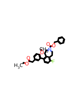 CCOC(=O)Cc1ccc(OC)c(-c2ccc(F)c3c2CCN(C(=O)OCc2ccccc2)CC3)c1